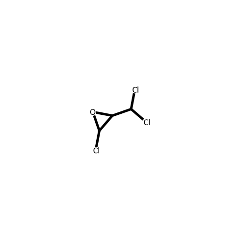 ClC(Cl)C1OC1Cl